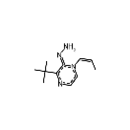 C/C=C\n1ccnc(C(C)(C)C)/c1=N/N